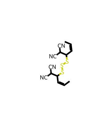 C/C=C\C(SSSC(/C=C\C)C(C#N)C#N)C(C#N)C#N